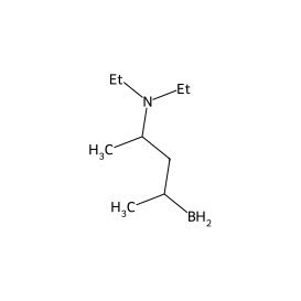 BC(C)CC(C)N(CC)CC